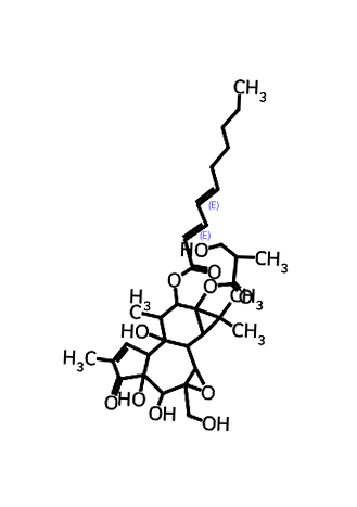 CCCCC/C=C/C=C/C(=O)OC1C(C)C2(O)C(C3OC3(CO)C(O)C3(O)C(=O)C(C)=CC32)C2C(C)(C)C12OC(=O)C(C)CO